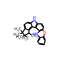 CC1c2c(ccc3[nH]c4ccc5c(c4c23)Nc2ccccc2O5)C(C)(C)C1(C)C